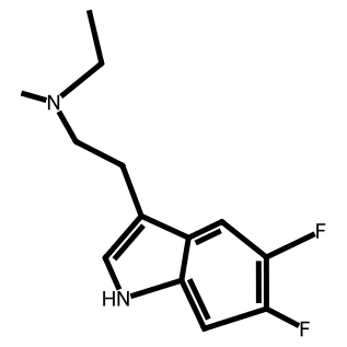 CCN(C)CCc1c[nH]c2cc(F)c(F)cc12